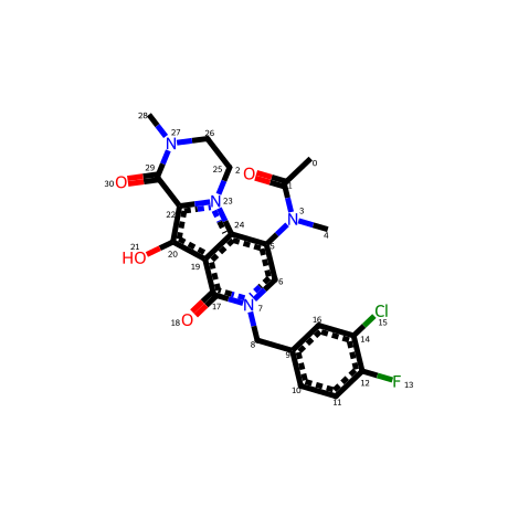 CC(=O)N(C)c1cn(Cc2ccc(F)c(Cl)c2)c(=O)c2c(O)c3n(c12)CCN(C)C3=O